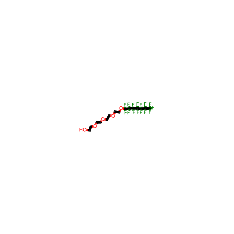 OCCOCCOCCOCCOC(F)(F)C(F)(F)C(F)(F)C(F)(F)C(F)(F)C(F)(F)C(F)(F)F